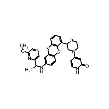 COc1cncc(C(C)Nc2ccc3c(c2)Sc2cccc(C4CN(c5cc[nH]c(=O)c5)CCO4)c2S3)n1